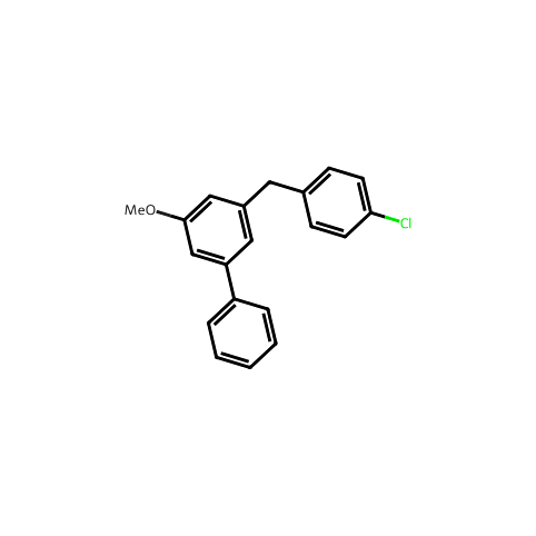 COc1cc(Cc2ccc(Cl)cc2)cc(-c2ccccc2)c1